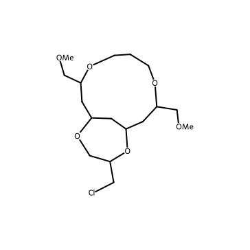 COCC1CC2CC(CC(COC)OCCCO1)OC(CCl)CO2